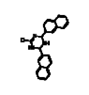 ClC1=NC(C2C=c3ccccc3=CC2)NC(c2ccc3ccccc3c2)N1